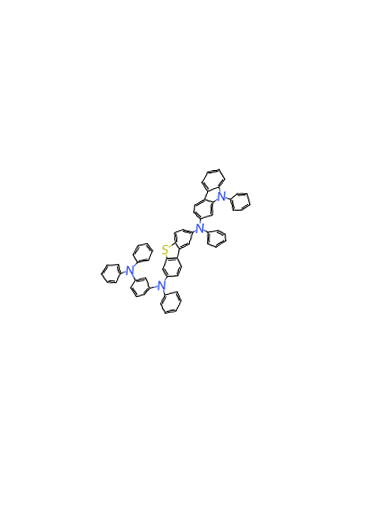 c1ccc(N(c2ccccc2)c2cccc(N(c3ccccc3)c3ccc4c(c3)sc3ccc(N(c5ccccc5)c5ccc6c7ccccc7n(-c7ccccc7)c6c5)cc34)c2)cc1